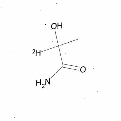 [2H]C(C)(O)C(N)=O